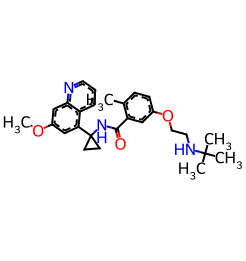 COc1cc(C2(NC(=O)c3cc(OCCNC(C)(C)C)ccc3C)CC2)c2cccnc2c1